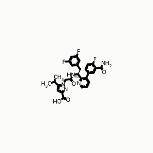 CC(C)c1cc(C(=O)O)nn1CC(=O)N[C@@H](Cc1cc(F)cc(F)c1)c1ncccc1-c1ccc(F)c(C(N)=O)c1